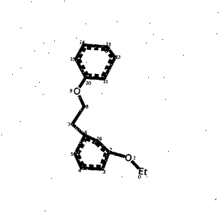 CCOc1cccc(CCOc2cc[c]cc2)c1